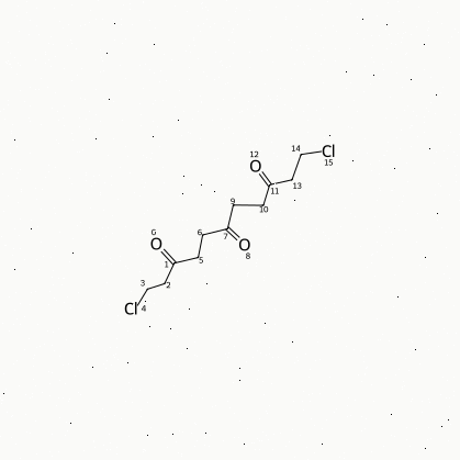 O=C(CCCl)CCC(=O)CCC(=O)CCCl